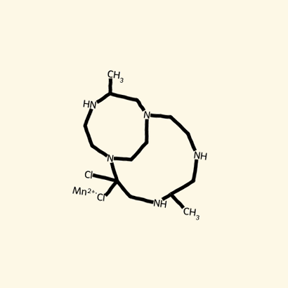 CC1CNCCN2CCN(CCNC(C)C2)C(Cl)(Cl)CN1.[Mn+2]